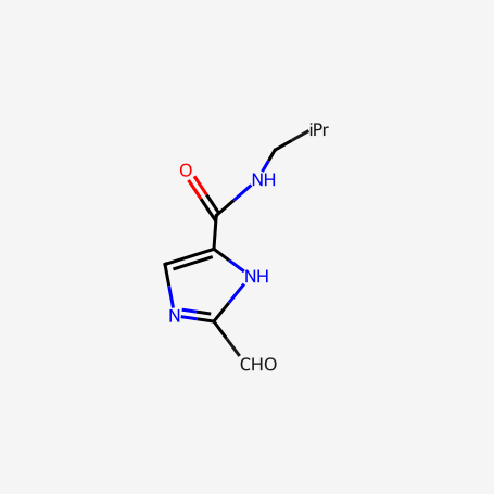 CC(C)CNC(=O)c1cnc(C=O)[nH]1